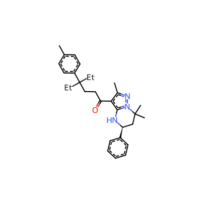 CCC(CC)(CCC(=O)c1c(C)nn2c1N[C@H](c1ccccc1)CC2(C)C)c1ccc(C)cc1